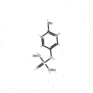 COP(=S)(OC)Oc1cnc(C(C)(C)C)nc1